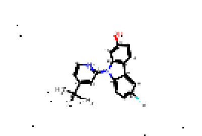 CC(C)(C)c1ccnc(-n2c3ccc(F)cc3c3ccc(O)cc32)c1